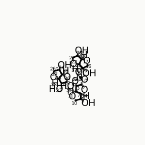 O=[N+](O[C@@]1(O)CO[C@@H]2[C@H](O)CO[C@@H]21)O[C@@]1(O)CO[C@@H]2[C@H](O)CO[C@@H]21.O[C@@H]1CO[C@H]2[C@@H]1OC[C@@H]2O